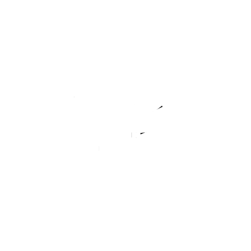 CC(C)[C@@H](O)[C@H](C)Oc1cc(F)cc(Cl)c1